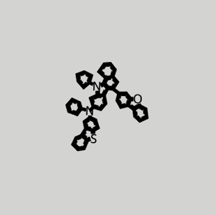 c1ccc(N(c2ccc3sc4ccccc4c3c2)c2ccc3c4c(-c5ccc6c(c5)oc5ccccc56)cc5ccccc5c4n(-c4ccccc4)c3c2)cc1